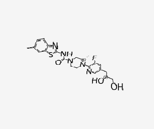 Cc1ccc2nc(NC(=O)N3CCN(c4ncc(C[C@H](O)CO)cc4F)[C@@H](C)C3)sc2c1